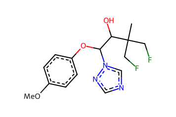 COc1ccc(OC(C(O)C(C)(CF)CF)n2cncn2)cc1